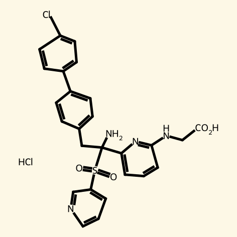 Cl.NC(Cc1ccc(-c2ccc(Cl)cc2)cc1)(c1cccc(NCC(=O)O)n1)S(=O)(=O)c1cccnc1